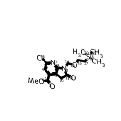 COC(=O)c1cc(Cl)nc2c1CC(=O)N2COCC[Si](C)(C)C